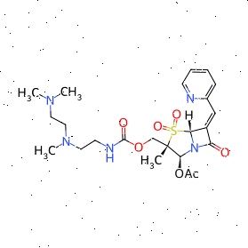 CC(=O)O[C@@H]1N2C(=O)/C(=C/c3ccccn3)[C@H]2S(=O)(=O)[C@@]1(C)COC(=O)NCCN(C)CCN(C)C